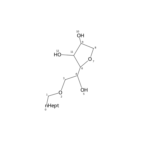 CCCCCCCCOCC(O)C1OCC(O)C1O